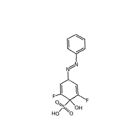 O=S(=O)(O)C1(O)C(F)=CC(/N=N/c2ccccc2)C=C1F